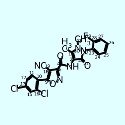 Cc1c(NC(=O)c2noc(-c3ccc(Cl)cc3Cl)c2C#N)c(=O)n(-c2ccccc2F)n1C